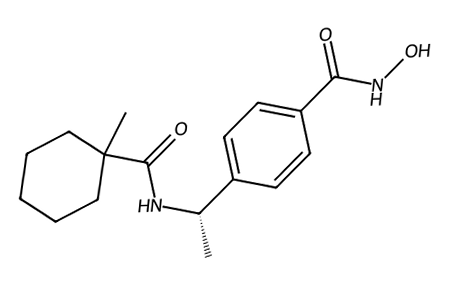 C[C@H](NC(=O)C1(C)CCCCC1)c1ccc(C(=O)NO)cc1